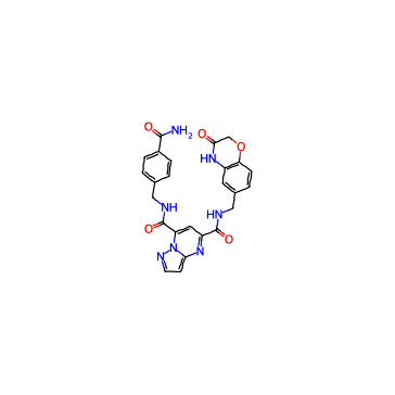 NC(=O)c1ccc(CNC(=O)c2cc(C(=O)NCc3ccc4c(c3)NC(=O)CO4)nc3ccnn23)cc1